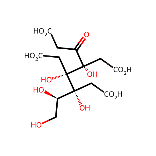 O=C(O)CC(=O)[C@@](O)(CC(=O)O)[C@](O)(CC(=O)O)[C@@](O)(CC(=O)O)[C@H](O)CO